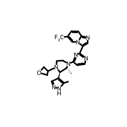 Cc1[nH]ncc1[C@@H]1[C@@H](C)N(c2ccnc(-c3cnc4ccc(C(F)(F)F)cn34)n2)CCN1C1COC1